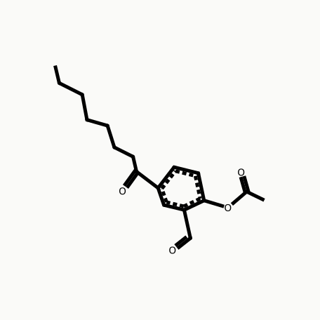 CCCCCCCC(=O)c1ccc(OC(C)=O)c(C=O)c1